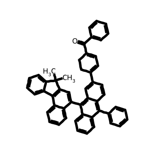 CC1(C)c2ccccc2-c2c1cc(-c1c3ccccc3c(-c3ccccc3)c3ccc(C4=CC=C(C(=O)c5ccccc5)CC4)cc13)c1ccccc21